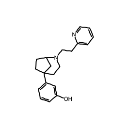 Oc1cccc(C23CCC(C2)N(CCc2ccccn2)CC3)c1